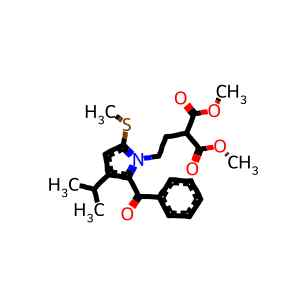 COC(=O)C(CCn1c(SC)cc(C(C)C)c1C(=O)c1ccccc1)C(=O)OC